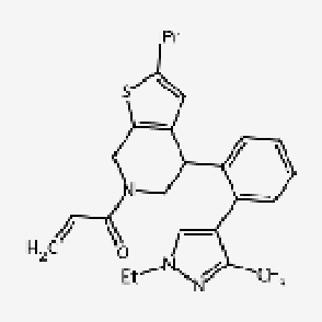 C=CC(=O)N1Cc2sc(C(C)C)cc2C(c2ccccc2-c2cn(CC)nc2C(F)(F)F)C1